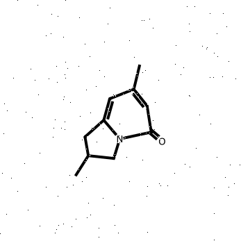 Cc1cc2n(c(=O)c1)CC(C)C2